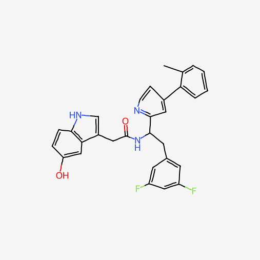 Cc1ccccc1-c1ccnc(C(Cc2cc(F)cc(F)c2)NC(=O)Cc2c[nH]c3ccc(O)cc23)c1